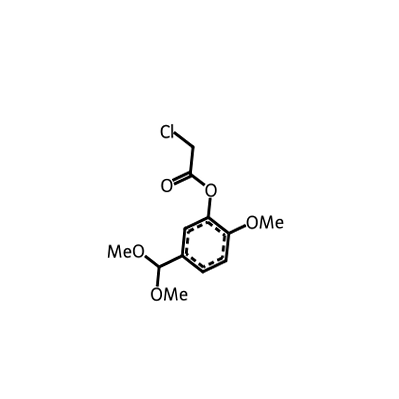 COc1ccc(C(OC)OC)cc1OC(=O)CCl